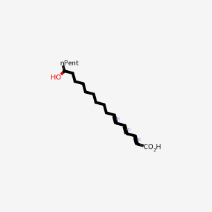 CCCCCC(O)CCCCCCCC/C=C/C=C/C=C/C(=O)O